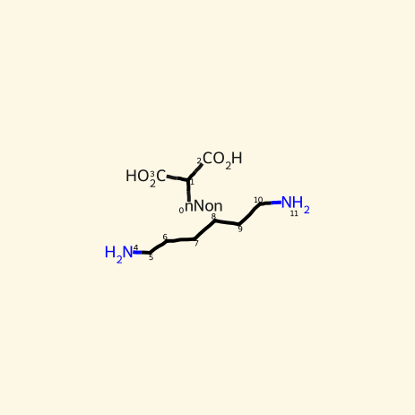 CCCCCCCCCC(C(=O)O)C(=O)O.NCCCCCCN